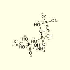 N.O=P(O)(O)O.O=P(O)(O)O.O=P([O-])([O-])O.[K+].[K+]